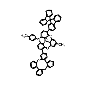 Cc1ccc(N2c3ccc(-c4ccc5c(c4)Cc4ccccc4-c4ccccc4Cc4ccccc4-5)c4c3P3(=O)c5c(cc(C)cc5Oc5c(-c6ccc7c(c6)C6(c8ccccc8-c8ccccc86)c6ccccc6-7)ccc2c53)O4)cc1